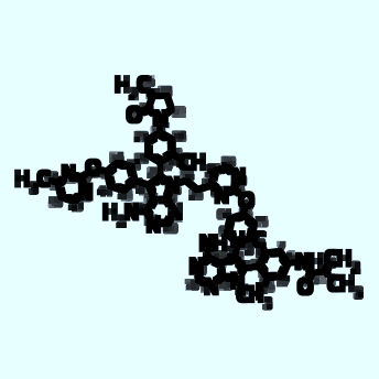 C=C(C)C(=O)Nc1cc(C)c(-c2c(-c3ccc(Oc4nccc(CCn5c(-c6ccc(N7CCC(=C)C7=O)cc6C)c(-c6ccc(Oc7nccc(C)n7)cc6)c6c(N)ncnc65)n4)cc3)c3c(N)ncnc3n2C)c(F)c1